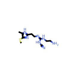 CSc1nc(CCN=C(NC#N)NCCN)[nH]c1C